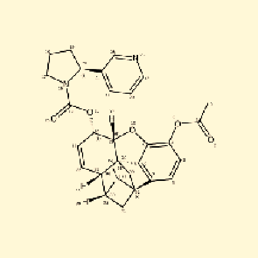 CC(=O)Oc1ccc2c3c1O[C@H]1[C@@H](OC(=O)N4CCC[C@H]4c4cccnc4)C=C[C@H]4[C@H]5C[C@@]2(C[C@@]341)N5C